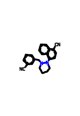 N#Cc1cccc(CN2CCCCN2c2ccc(C#N)c3ccccc23)c1